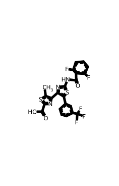 Cc1sc(C(=O)O)nc1-c1nc(NC(=O)c2c(F)cccc2F)sc1-c1cccc(C(F)(F)F)c1